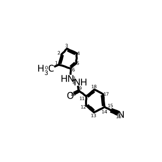 Cc1ccccc1NNC(=O)c1ccc(C#N)cc1